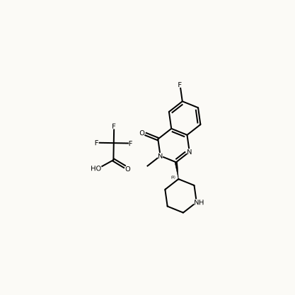 Cn1c([C@@H]2CCCNC2)nc2ccc(F)cc2c1=O.O=C(O)C(F)(F)F